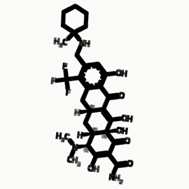 CN(C)[C@@H]1C(O)=C(C(N)=O)C(=O)[C@@]2(O)C(O)=C3C(=O)c4c(O)cc(CNC5(C)CCCCC5)c(C(F)(F)F)c4C[C@H]3C[C@@H]12